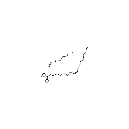 C=CCCCCCCCC.CCCCCCCC/C=C\CCCCCCCC(=O)OC